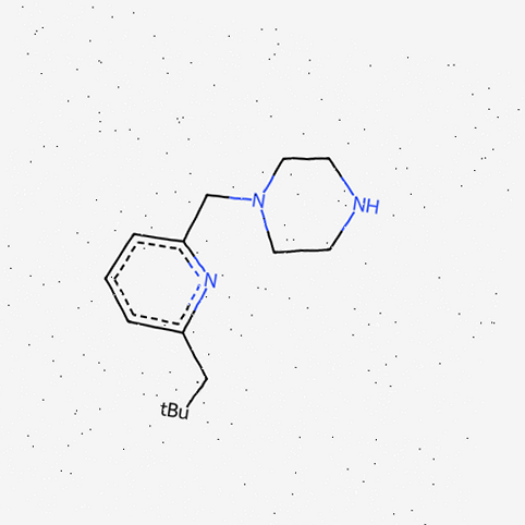 CC(C)(C)Cc1cccc(CN2CCNCC2)n1